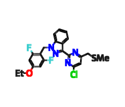 CCOc1cc(F)c(Cn2nc(-c3nc(Cl)cc(CSC)n3)c3ccccc32)c(F)c1